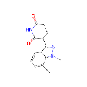 CC1=CC=CC2C(C3CCC(=O)NC3=O)=NN(C)C12